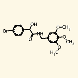 COc1cc(CNC(=O)C(O)c2ccc(Br)cc2)cc(OC)c1OC